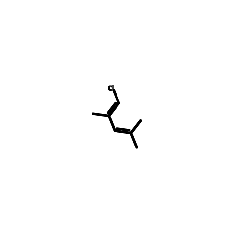 CC(C)=CC(C)=CCl